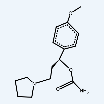 COc1ccc([C@H](CCN2CCCC2)OC(N)=O)cc1